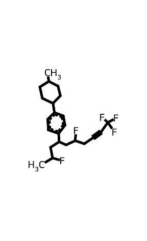 CC(F)CC(CC(F)CC#CC(F)(F)F)c1ccc(C2CCC(C)CC2)cc1